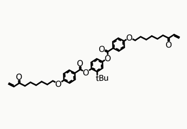 C=CC(=O)CCCCCCOc1ccc(C(=O)Oc2ccc(OC(=O)c3ccc(OCCCCCCC(=O)C=C)cc3)c(C(C)(C)C)c2)cc1